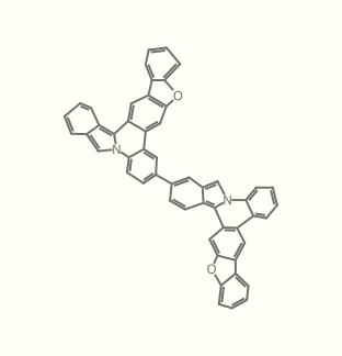 c1ccc2c(c1)cn1c3ccc(-c4ccc5c(c4)cn4c6ccccc6c6cc7c(cc6c54)oc4ccccc47)cc3c3cc4oc5ccccc5c4cc3c21